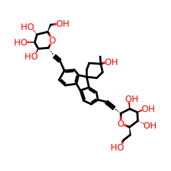 CC1(O)CCC2(CC1)c1cc(C#C[C@H]3O[C@H](CO)[C@@H](O)[C@H](O)[C@@H]3O)ccc1-c1ccc(C#C[C@H]3O[C@H](CCO)[C@@H](O)[C@H](O)[C@@H]3O)cc12